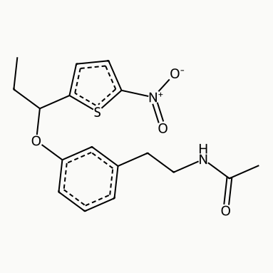 CCC(Oc1cccc(CCNC(C)=O)c1)c1ccc([N+](=O)[O-])s1